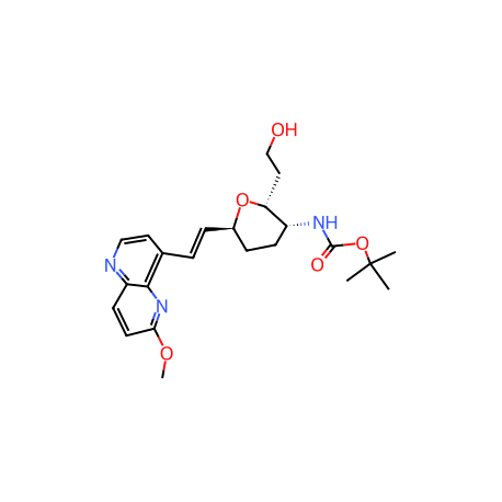 COc1ccc2nccc(C=C[C@@H]3CC[C@@H](NC(=O)OC(C)(C)C)[C@@H](CCO)O3)c2n1